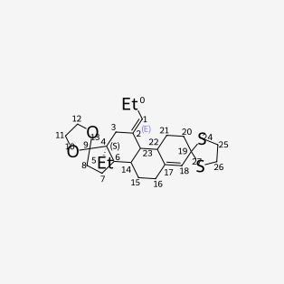 CC/C=C1\C[C@@]2(CC)C(CCC23OCCO3)C2CCC3=CC4(CCC3C12)SCCS4